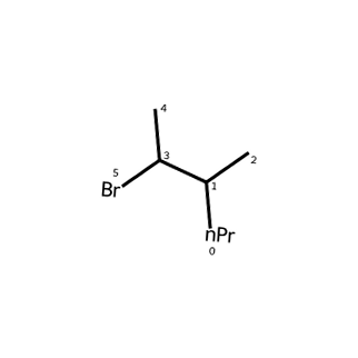 CCCC(C)C(C)Br